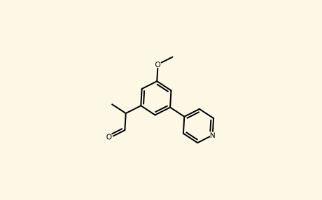 COc1cc(-c2ccncc2)cc(C(C)C=O)c1